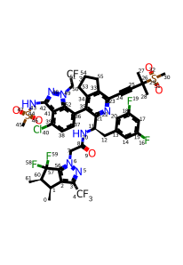 C[C@@H]1c2c(C(F)(F)F)nn(CC(=O)N[C@H](Cc3cc(F)cc(F)c3)c3nc(C#CC(C)(C)S(C)(=O)=O)c4c(c3-c3ccc(Cl)c5c(NS(C)(=O)=O)nn(CC(F)(F)F)c35)CCC4)c2C(F)(F)[C@@H]1C